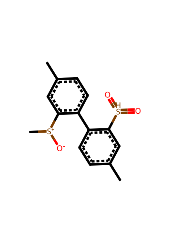 Cc1ccc(-c2ccc(C)cc2[SH](=O)=O)c([S+](C)[O-])c1